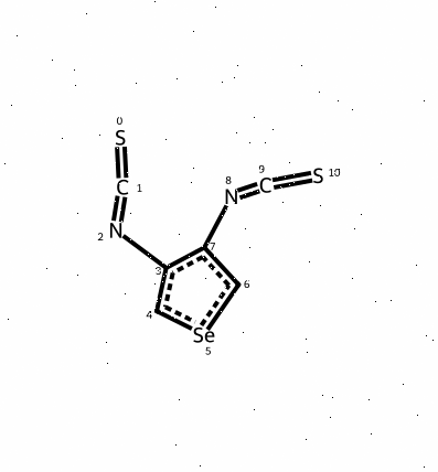 S=C=Nc1c[se]cc1N=C=S